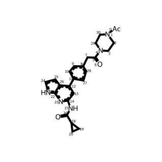 CC(=O)N1CCN(C(=O)Cc2ccc(-c3cc(NC(=O)C4CC4)nc4[nH]ccc34)cc2)CC1